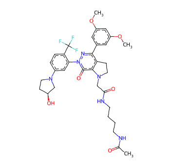 COc1cc(OC)cc(-c2nn(-c3cc(N4CC[C@H](O)C4)ccc3C(F)(F)F)c(=O)c3c2CCN3CC(=O)NCCCCNC(C)=O)c1